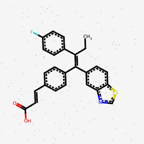 CC/C(=C(/c1ccc(/C=C/C(=O)O)cc1)c1ccc2scnc2c1)c1ccc(F)cc1